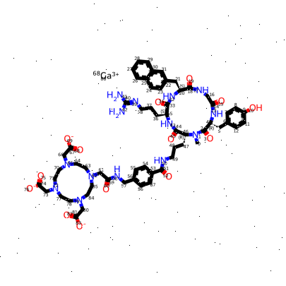 CN1C(=O)[C@@H](Cc2ccc(O)cc2)NC(=O)CNC(=O)[C@H](Cc2ccc3ccccc3c2)NC(=O)[C@H](CCCN=C(N)N)NC(=O)[C@H]1CCCNC(=O)c1ccc(CNC(=O)CN2CCN(CC(=O)[O-])CCN(CC(=O)[O-])CCN(CC(=O)[O-])CC2)cc1.[68Ga+3]